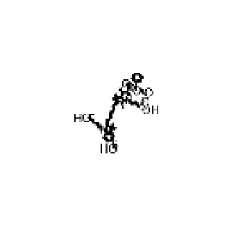 CC1=C2C(N=C(/C=C/C=C/C=C3/N(CCCSO)c4ccc(SO)cc4C3(C)C)C2(C)C)N(CCCS(=O)O)C=C1C(=O)N(OCC=O)c1ccccc1